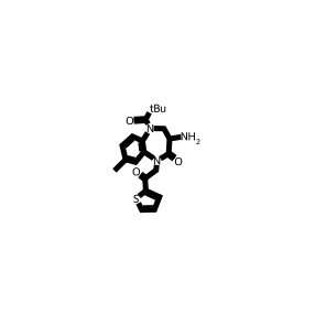 Cc1ccc2c(c1)N(CC(=O)c1cccs1)C(=O)C(N)CN2C(=O)C(C)(C)C